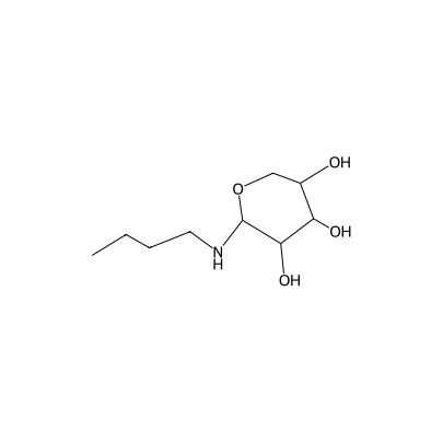 CCCCNC1OCC(O)C(O)C1O